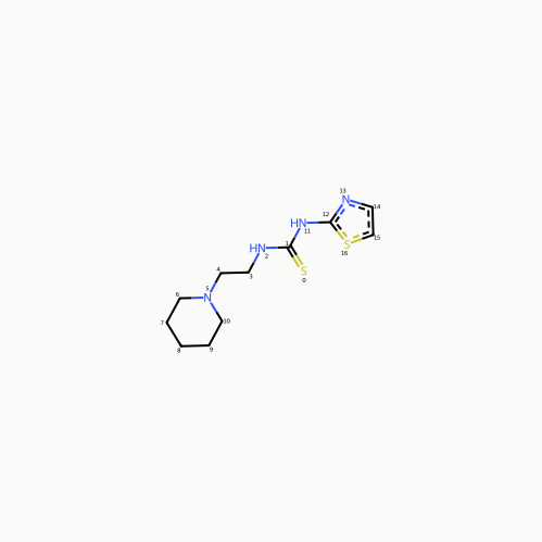 S=C(NCCN1CCCCC1)Nc1nccs1